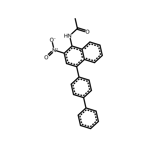 CC(=O)Nc1c([N+](=O)[O-])cc(-c2ccc(-c3ccccc3)cc2)c2ccccc12